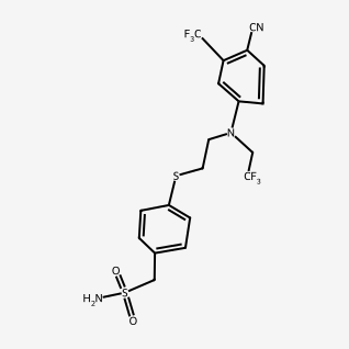 N#Cc1ccc(N(CCSc2ccc(CS(N)(=O)=O)cc2)CC(F)(F)F)cc1C(F)(F)F